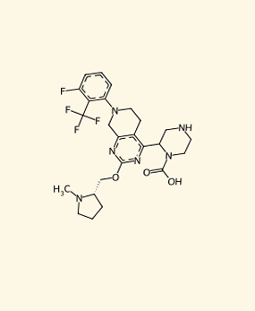 CN1CCC[C@H]1COc1nc2c(c(C3CNCCN3C(=O)O)n1)CCN(c1cccc(F)c1C(F)(F)F)C2